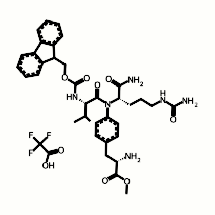 COC(=O)[C@@H](N)Cc1ccc(N(C(=O)[C@@H](NC(=O)OCC2c3ccccc3-c3ccccc32)C(C)C)[C@@H](CCCNC(N)=O)C(N)=O)cc1.O=C(O)C(F)(F)F